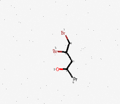 CC(C)C([O])CC(Br)CBr